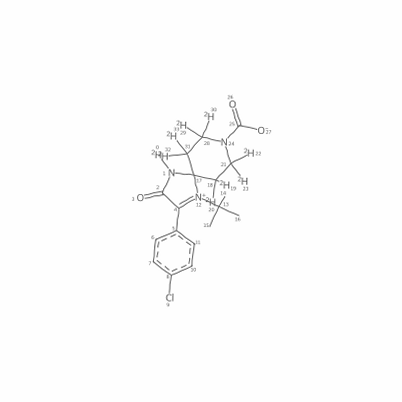 [2H]N1C(=O)C(c2ccc(Cl)cc2)=[N+](C(C)(C)C)C12C([2H])([2H])C([2H])([2H])N(C(=O)[O-])C([2H])([2H])C2([2H])[2H]